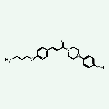 CCCCOc1ccc(C=CC(=O)N2CCN(c3ccc(O)cc3)CC2)cc1